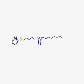 CCCCCCCCNCCCCCCSc1ccccn1